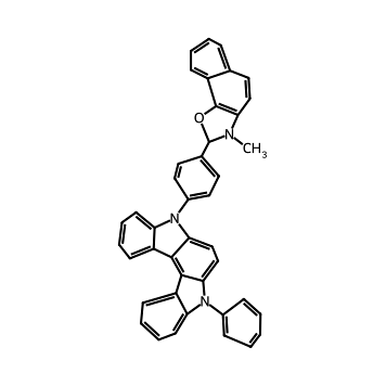 CN1c2ccc3ccccc3c2OC1c1ccc(-n2c3ccccc3c3c4c5ccccc5n(-c5ccccc5)c4ccc32)cc1